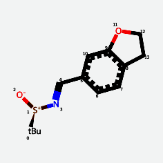 CC(C)(C)[S@@+]([O-])/N=C/c1ccc2c(c1)OCC2